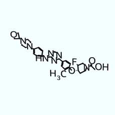 Cc1cc(-c2ncnc(Nc3ccc(N4CCN(C5COC5)CC4)cc3)n2)ccc1O[C@H]1CCN(C(=O)CO)C[C@@H]1F